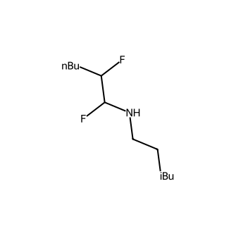 CCCCC(F)C(F)NCCC(C)CC